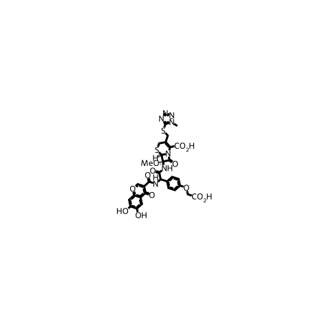 CO[C@@]1(NC(=O)C(NC(=O)c2coc3cc(O)c(O)cc3c2=O)c2ccc(OCC(=O)O)cc2)C(=O)N2C(C(=O)O)=C(CSc3nnnn3C)CS[C@@H]21